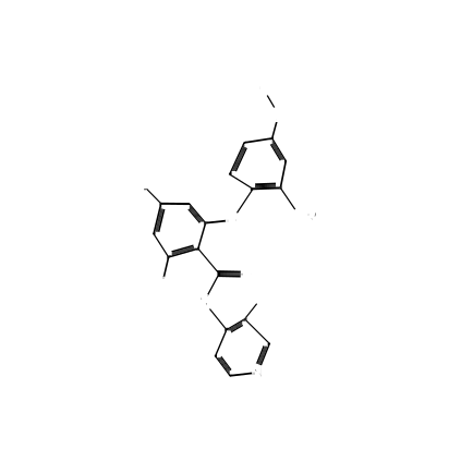 COc1cc(OC(F)(F)F)ccc1Oc1cc(Cl)cc(F)c1C(=O)Nc1ccncc1C